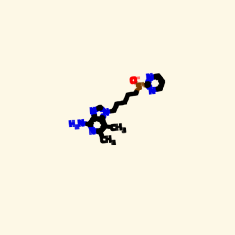 Cc1nc(N)c2ncn(CCCCC[S+]([O-])c3ncccn3)c2c1C